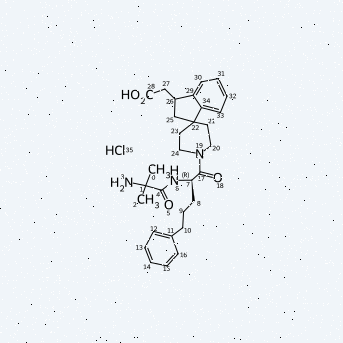 CC(C)(N)C(=O)N[C@H](CCCc1ccccc1)C(=O)N1CCC2(CC1)CC(CC(=O)O)c1ccccc12.Cl